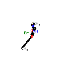 CCCCCCCCCCCCCCOc1ccc(C(=O)Nc2cccc(C[n+]3csc(C)c3)c2)cc1.[Br-]